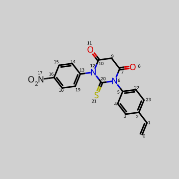 C=Cc1ccc(N2C(=O)CC(=O)N(c3ccc([N+](=O)[O-])cc3)C2=S)cc1